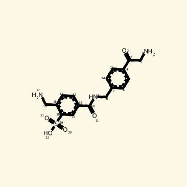 NCC(=O)c1ccc(CNC(=O)c2ccc(CN)c(S(=O)(=O)O)c2)cc1